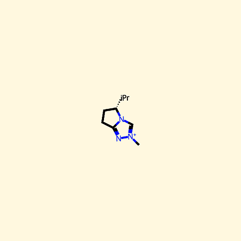 CC(C)[C@H]1CCc2n[n+](C)cn21